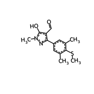 CSc1c(C)cc(-c2nn(C)c(O)c2C=O)cc1C